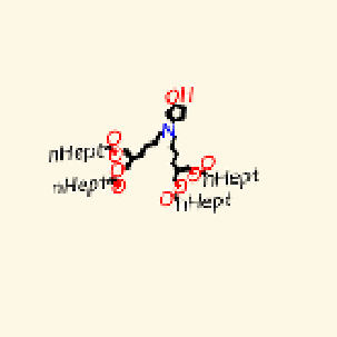 CCCCCCCC(=O)OCC(CCCCN(CCCCC(COC(=O)CCCCCCC)COC(=O)CCCCCCC)[C@@H]1CC[C@H](O)C1)COC(=O)CCCCCCC